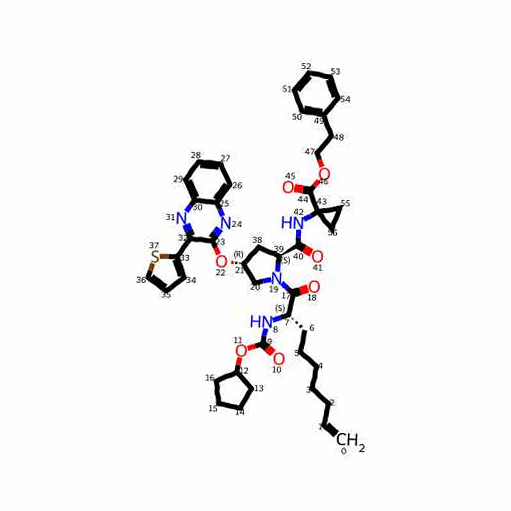 C=CCCCCC[C@H](NC(=O)OC1CCCC1)C(=O)N1C[C@H](Oc2nc3ccccc3nc2-c2cccs2)C[C@H]1C(=O)NC1(C(=O)OCCc2ccccc2)CC1